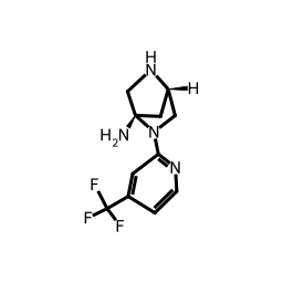 N[C@]12CN[C@H](CN1c1cc(C(F)(F)F)ccn1)C2